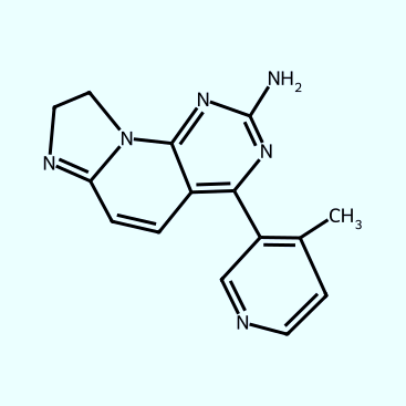 Cc1ccncc1-c1nc(N)nc2c1C=CC1=NCCN12